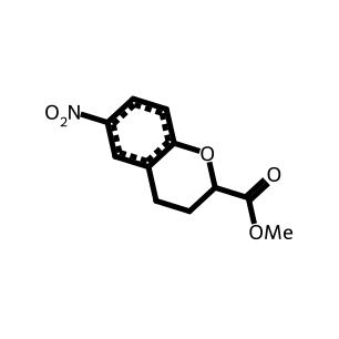 COC(=O)C1CCc2cc([N+](=O)[O-])ccc2O1